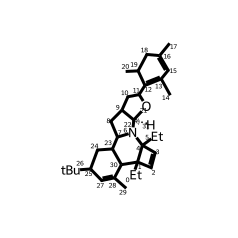 CCC12C=CC1(CC)N1C(CC3CC(C4=C(C)C=C(C)CC4C)O[C@H]31)C1CC(C(C)(C)C)C=C(C)C12